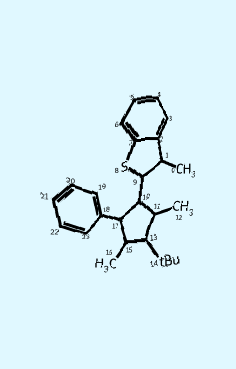 CC1c2ccccc2SC1C1C(C)C(C(C)(C)C)C(C)C1c1ccccc1